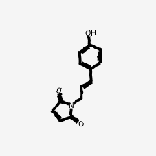 O=C1C=CC(=O)N1CC=Cc1ccc(O)cc1